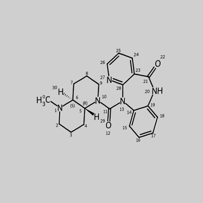 CN1CCC[C@@H]2[C@@H]1CCCN2C(=O)N1c2ccccc2NC(=O)c2cccnc21